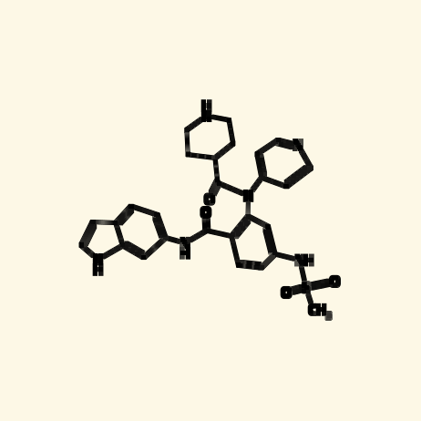 CS(=O)(=O)Nc1ccc(C(=O)Nc2ccc3cc[nH]c3c2)c(N(C(=O)C2CCNCC2)c2ccncc2)c1